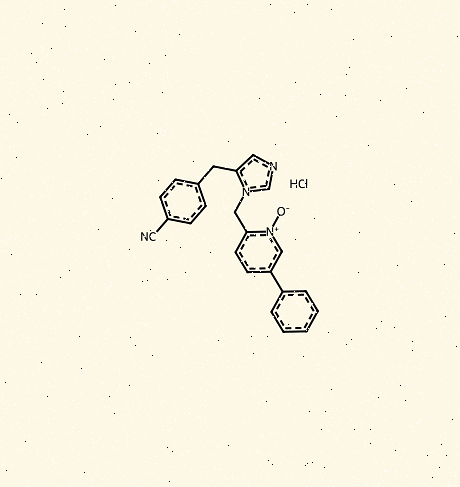 Cl.N#Cc1ccc(Cc2cncn2Cc2ccc(-c3ccccc3)c[n+]2[O-])cc1